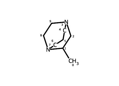 CC1CN2CCCN1CC2